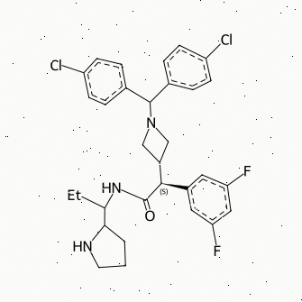 CCC(NC(=O)[C@H](c1cc(F)cc(F)c1)C1CN(C(c2ccc(Cl)cc2)c2ccc(Cl)cc2)C1)C1CCCN1